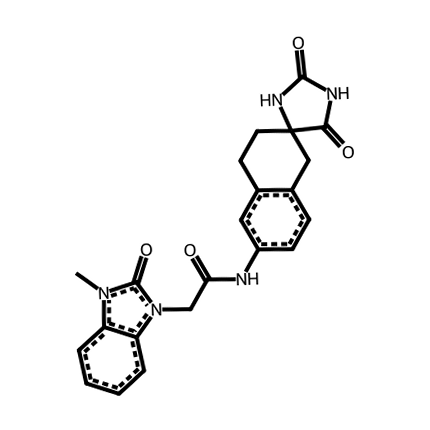 Cn1c(=O)n(CC(=O)Nc2ccc3c(c2)CCC2(C3)NC(=O)NC2=O)c2ccccc21